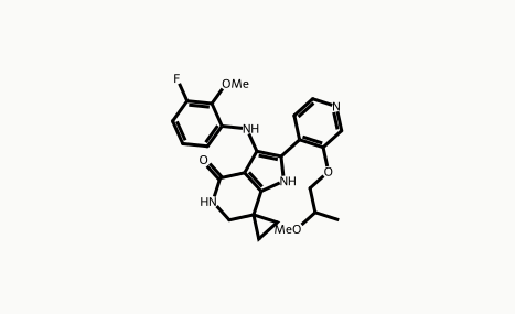 COc1c(F)cccc1Nc1c(-c2ccncc2OCC(C)OC)[nH]c2c1C(=O)NCC21CC1